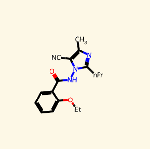 CCCc1nc(C)c(C#N)n1NC(=O)c1ccccc1OCC